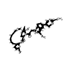 CC(=O)c1nn(CC(=O)N2[C@H]3C[C@@]4(COCCCCCc5ccc(Br)nc5NC3=O)C[C@@H]24)c2ccc(-c3cnc(C)nc3)cc12